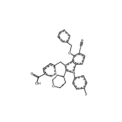 N#Cc1ccc2c(c(Cc3ccc(C(=O)O)cc3)c(C3CCOCC3)n2-c2ccc(F)cc2)c1OCc1ccccc1